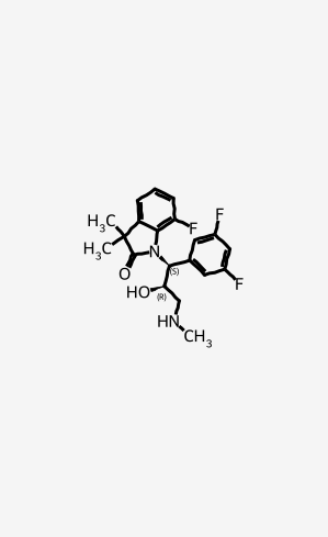 CNC[C@@H](O)[C@H](c1cc(F)cc(F)c1)N1C(=O)C(C)(C)c2cccc(F)c21